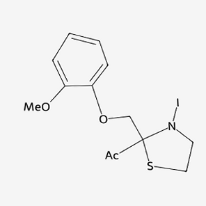 COc1ccccc1OCC1(C(C)=O)SCCN1I